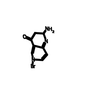 NC1CC(=O)C2=CN(Br)C=CC2=N1